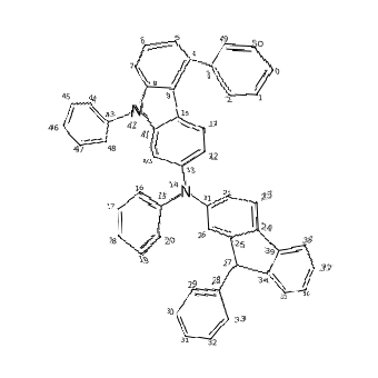 c1ccc(-c2cccc3c2c2ccc(N(c4ccccc4)c4ccc5c(c4)C(c4ccccc4)c4ccccc4-5)cc2n3-c2ccccc2)cc1